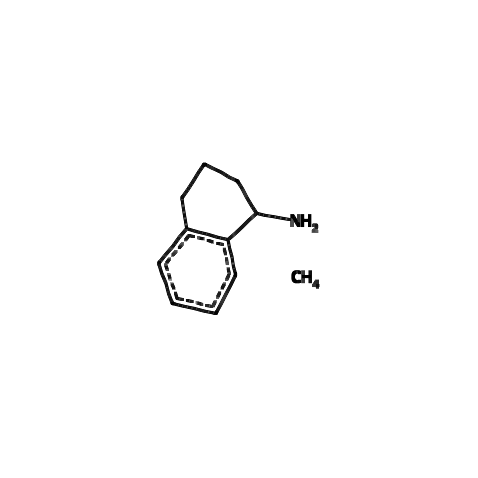 C.NC1CCCc2ccccc21